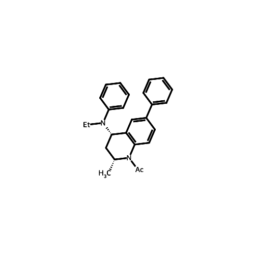 CCN(c1ccccc1)[C@H]1C[C@@H](C)N(C(C)=O)c2ccc(-c3ccccc3)cc21